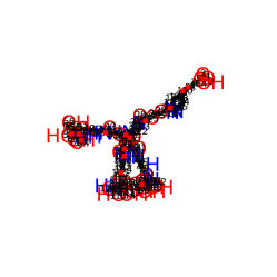 COP(=O)(O)OCCCCCCC1C2CCc3nnn(CCOCCOCCC(=O)N4CCC(C(=O)NC(COCCC(=O)NCCCCCCOC5OC(CO)C(O)C(O)C5NC(C)=O)(COCCC(=O)NCCCCCCOC5OC(CO)C(O)C(O)C5NC(C)=O)COCCC(=O)NCCCCCCOC5OC(CO)C(O)C(O)C5NC(C)=O)CC4)c3CCC12